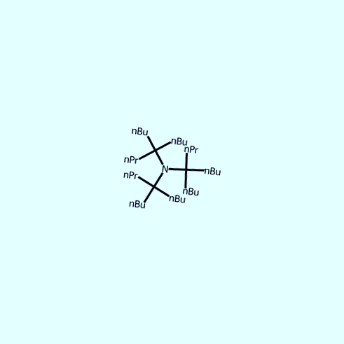 CCCCC(CCC)(CCCC)N(C(CCC)(CCCC)CCCC)C(CCC)(CCCC)CCCC